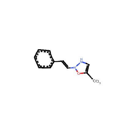 ClC(Cl)(Cl)C1=CNN(C=Cc2ccccc2)O1